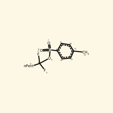 CCCCCC(F)(F)OS(=O)(=O)c1ccc(C)cc1